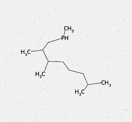 CPCC(C)C(C)CCCC(C)C